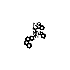 C1=NC2Oc3ccccc3C2C(C2=NC(c3ccc4c(ccc5ccc6ccccc6c54)c3)=NC(c3ccccc3)N2)=C1